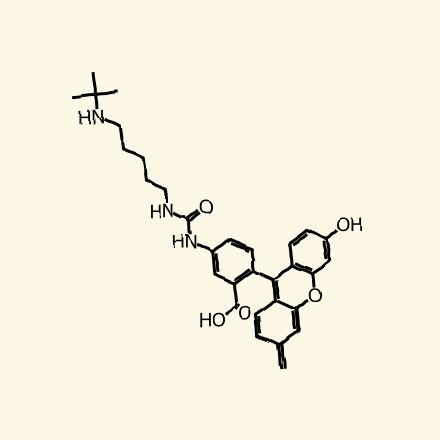 C=c1ccc2c(c1)Oc1cc(O)ccc1C=2c1ccc(NC(=O)NCCCCCNC(C)(C)C)cc1C(=O)O